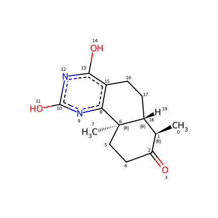 C[C@H]1C(=O)CC[C@@]2(C)c3nc(O)nc(O)c3CC[C@H]12